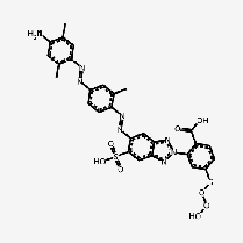 Cc1cc(N=Nc2ccc(N=Nc3cc4nn(-c5cc(SOOO)ccc5C(=O)O)nc4cc3S(=O)(=O)O)c(C)c2)c(C)cc1N